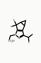 CCOC(=O)Cn1nc(C(F)I)c2c1C(F)(F)C1CC21